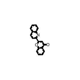 O=c1cc(-c2ccc3ccccc3n2)oc2ccccc12